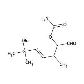 CC(C=C[Si](C)(C)C(C)(C)C)C(C=O)OC(N)=O